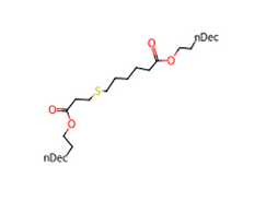 CCCCCCCCCCCCOC(=O)CCCCCSCCC(=O)OCCCCCCCCCCCC